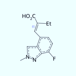 CC/C(=C\c1ccc(F)c2nn(C)cc12)C(=O)O